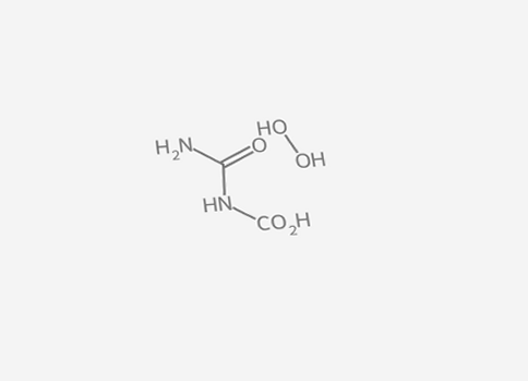 NC(=O)NC(=O)O.OO